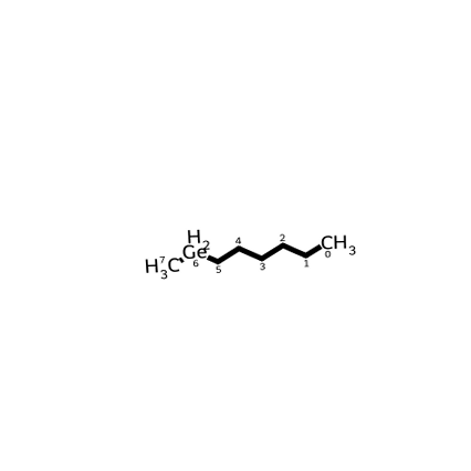 CCCCC[CH2][GeH2][CH3]